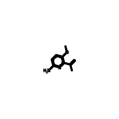 C=C(C)c1nc(N)ccc1OC